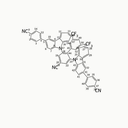 N#Cc1ccc(-c2ccc3c(c2)c2ccccc2n3-c2cc(C#N)cc(-n3c4ccccc4c4cc(-c5ccc(C#N)cc5)ccc43)c2-c2cc(C(F)(F)F)cc(C(F)(F)F)c2)cc1